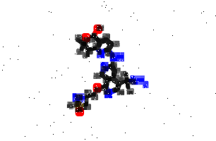 C[C@@H]1c2nc(Nc3cc4c(C(C)(C)N)cnc(OCCC[S@](C)(=N)=O)c4cn3)ccc2C(=O)OC1(C)C